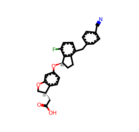 N#Cc1ccc(Cc2ccc(F)c3c2CC[C@H]3Oc2ccc3c(c2)OC[C@H]3CC(=O)O)cc1